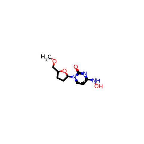 COCC1CCC(n2ccc(NO)nc2=O)O1